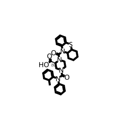 CC1CC=CC=C1N(C(=O)N1CCN(C(=O)N2c3ccccc3SC3CCCCC32)[C@H](C(=O)O)C1)c1ccccc1